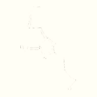 C=c1nc(CCCC)o/c1=C/C=C\C